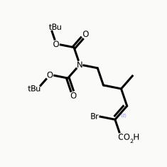 CC(/C=C(\Br)C(=O)O)CCN(C(=O)OC(C)(C)C)C(=O)OC(C)(C)C